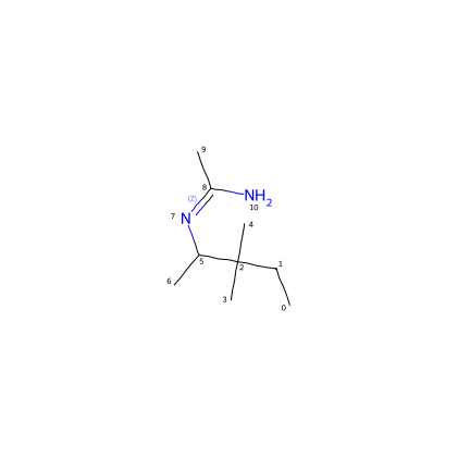 CCC(C)(C)C(C)/N=C(/C)N